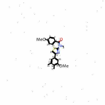 COc1ccc(C(=O)N(C)c2nc(-c3cc(C)c(C)c(OC)c3)cs2)cc1